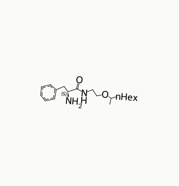 CCCCCCC(C)OCCNC(=O)[C@@H](N)Cc1ccccc1